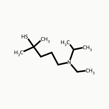 CCN(CCCC(C)(C)S)C(C)C